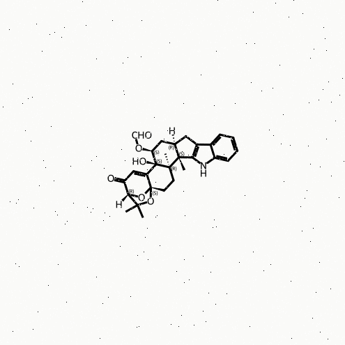 CC1(C)O[C@@]23CC[C@]4(C)[C@@]5(C)c6[nH]c7ccccc7c6C[C@@H]5C[C@H](OC=O)[C@@]4(O)C2=CC(=O)[C@@H]1O3